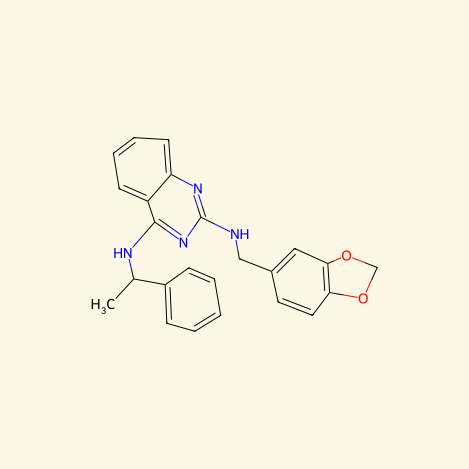 CC(Nc1nc(NCc2ccc3c(c2)OCO3)nc2ccccc12)c1ccccc1